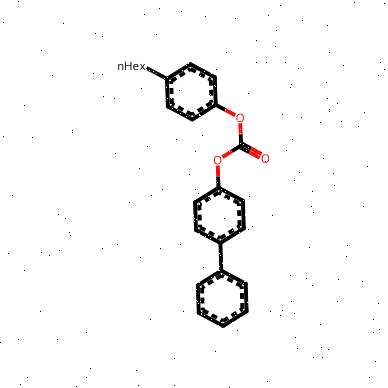 CCCCCCc1ccc(OC(=O)Oc2ccc(-c3ccccc3)cc2)cc1